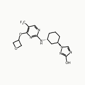 Oc1ncn([C@@H]2CCC[C@@H](Nc3ncc(C(F)(F)F)c(OC4COC4)n3)C2)n1